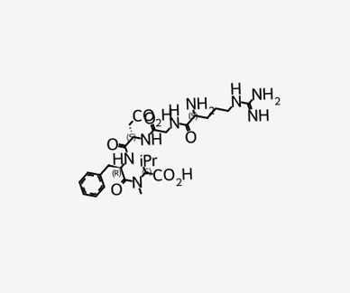 CC(C)[C@@H](C(=O)O)N(C)C(=O)[C@@H](Cc1ccccc1)NC(=O)[C@H](CC(=O)O)NC(=O)CNC(=O)[C@@H](N)CCCNC(=N)N